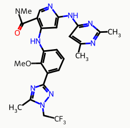 CNC(=O)c1cnc(Nc2cc(C)nc(C)n2)cc1Nc1cccc(-c2nc(C)n(CC(F)(F)F)n2)c1OC